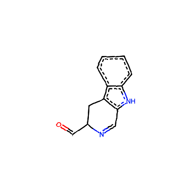 O=[C]C1Cc2c([nH]c3ccccc23)C=N1